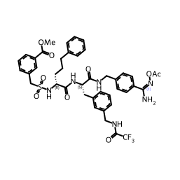 COC(=O)c1cccc(CS(=O)(=O)N[C@H](CCCc2ccccc2)C(=O)N[C@@H](Cc2cccc(CNC(=O)C(F)(F)F)c2)C(=O)NCc2ccc(/C(N)=N\OC(C)=O)cc2)c1